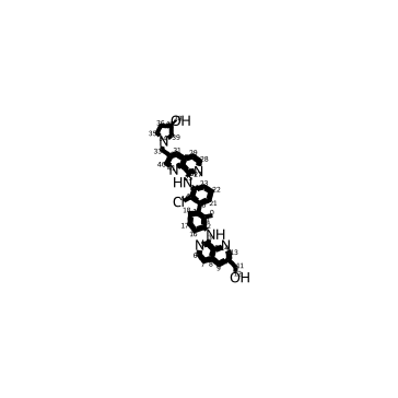 Cc1c(Nc2nccc3cc(CO)cnc23)cccc1-c1cccc(Nc2nccc3cc(CN4CC[C@@H](O)C4)cnc23)c1Cl